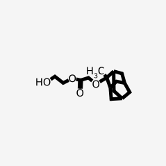 CC1(OCC(=O)OCCO)C2CC3CC(C2)CC1C3